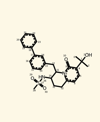 CC(C)(O)c1ccc2n(c1=O)C(Cc1cccc(-c3ccccc3)c1)C(NS(C)(=O)=O)CC2